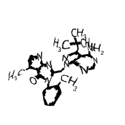 Cc1ccccc1-n1c(Cn2nc(C(C)(C)C)c3c(N)ncnc32)nc2nccc(C)c2c1=O